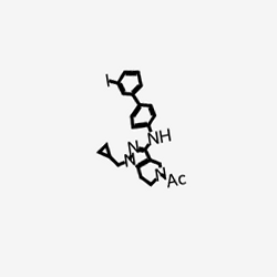 CC(=O)N1CCc2c(c(Nc3ccc(-c4cccc(I)c4)cc3)nn2CC2CC2)C1